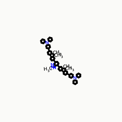 Cn1nc2c(-c3ccc4c(c3)C(C)(C)c3cc(-c5ccc(N(c6ccccc6)c6ccccc6)cc5)ccc3-4)ccc(-c3ccc4c(c3)C(C)(C)c3cc(-c5ccc(N(c6ccccc6)c6ccccc6)cc5)ccc3-4)c2n1